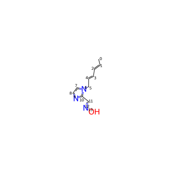 CC=CC=CCn1ccnc1C=NO